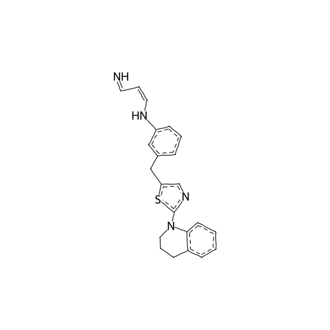 N=C/C=C\Nc1cccc(Cc2cnc(N3CCCc4ccccc43)s2)c1